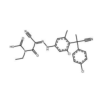 CCN(C(=O)O)C(=O)C(C#N)=NNc1cc(C)c(C(C)(C#N)c2ccc(Cl)cc2)c(Cl)c1